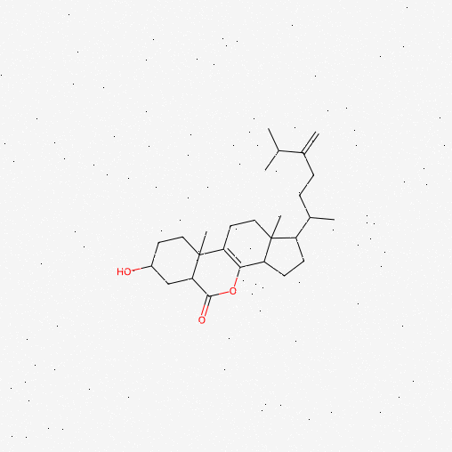 C=C(CCC(C)C1CCC2C3=C(CCC21C)C1(C)CCC(O)CC1C(=O)O3)C(C)C